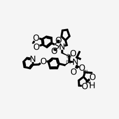 CC1(C)O[C@H](CN(CC2CCCC2)S(=O)(=O)c2ccc3c(c2)OCO3)[C@H](Cc2ccc(OCc3ccccn3)cc2)N1C(=O)O[C@H]1CO[C@H]2OCCC21